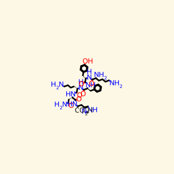 NCCCC[C@H](NC(=O)[C@H](Cc1ccccc1)NC(=O)[C@H](Cc1ccc(O)cc1)NC(=O)[C@@H](N)CCCCN)C(=O)N[C@@H](CC(N)=O)C(=O)N[C@@H](Cc1c[nH]cn1)C(=O)O